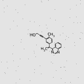 C=C(c1ccc(C)c(C#CCO)c1)c1ncnc2ccccc12